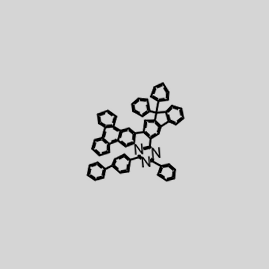 c1ccc(-c2ccc(-c3nc(-c4ccccc4)nc(-c4cc5c(cc4-c4ccc6c7ccccc7c7ccccc7c6c4)C(c4ccccc4)(c4ccccc4)c4ccccc4-5)n3)cc2)cc1